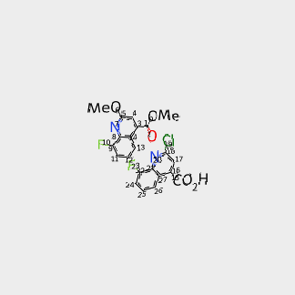 COC(=O)c1cc(OC)nc2c(F)cccc12.O=C(O)c1cc(Cl)nc2c(F)cccc12